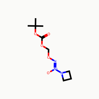 CC(C)(C)OC(=O)OCON=[N+]([O-])N1CCC1